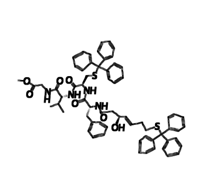 COC(=O)CNC(=O)[C@H](NC(=O)[C@@H](CSC(c1ccccc1)(c1ccccc1)c1ccccc1)NC(=O)[C@@H](Cc1ccccc1)NC(=O)C[C@H](O)C=CCCSC(c1ccccc1)(c1ccccc1)c1ccccc1)C(C)C